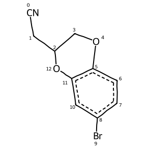 N#CCC1COc2ccc(Br)cc2O1